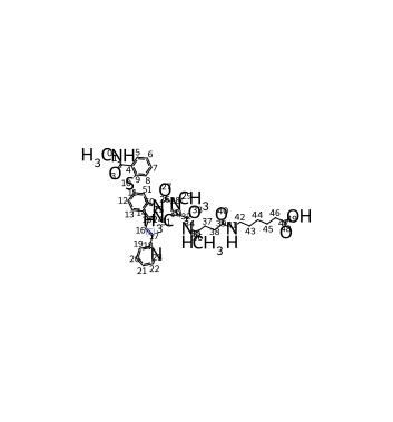 CNC(=O)c1ccccc1Sc1ccc2c(/C=C/c3ccccn3)nn(C(=O)N(C)[C@@H](C)C(=O)N[C@@H](C)CCC(=O)NCCCCCC(=O)O)c2c1